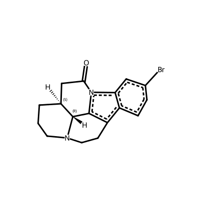 O=C1C[C@@H]2CCCN3CCc4c(n1c1cc(Br)ccc41)[C@@H]23